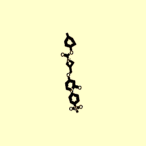 Cc1ccc(OC(=O)N2CC(COc3ccn(-c4ccc(S(C)(=O)=O)cc4)c(=O)c3)C2)cc1